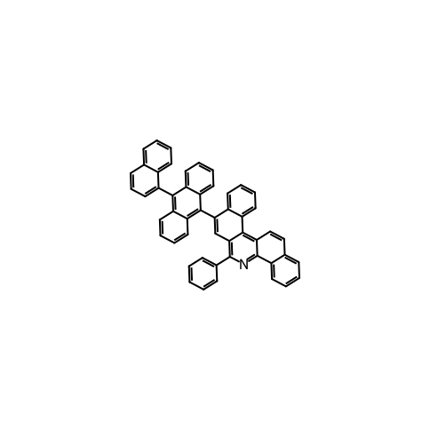 c1ccc(-c2nc3c4ccccc4ccc3c3c2cc(-c2c4ccccc4c(-c4cccc5ccccc45)c4ccccc24)c2ccccc23)cc1